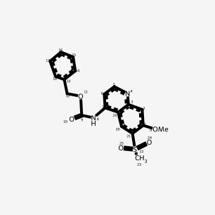 COc1cc2nccc(NC(=O)OCc3ccccc3)c2cc1S(C)(=O)=O